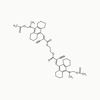 CC(=O)OCN(C)c1c2c(c(/C=C(\C#N)C(=O)OCCOC(=O)/C(C#N)=C/c3c4c(c(N(C)COC(C)=O)c5c3CCCC5)CCCC4)c3c1CCCC3)CCCC2